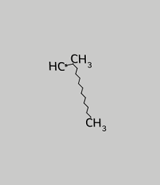 C#CC(C)CCCCCCCCCCCC